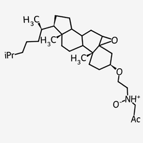 CC(=O)C[NH+]([O-])CCO[C@H]1CC[C@]2(C)C3CC[C@@]4(C)C(CC[C@@H]4[C@H](C)CCCC(C)C)C3CC3OC32C1